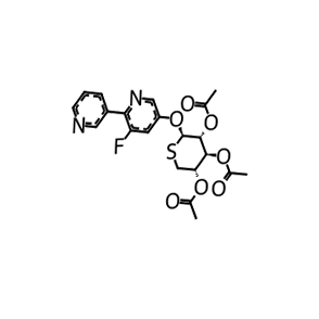 CC(=O)O[C@@H]1[C@@H](OC(C)=O)[C@H](OC(C)=O)CS[C@H]1Oc1cnc(-c2cccnc2)c(F)c1